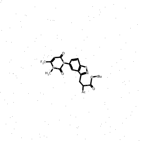 CC(=O)C(Cc1nsc2ccc(-n3c(=O)cc(C(F)(F)F)n(C)c3=O)cc12)C(=O)OC(C)(C)C